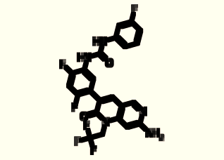 Nc1cc2c(cn1)cc(-c1cc(NC(=O)Nc3cccc(F)c3)c(F)cc1F)c(=O)n2CC(F)(F)F